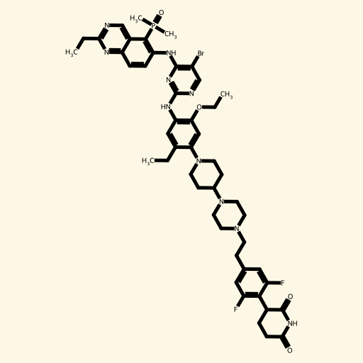 CCOc1cc(N2CCC(N3CCN(CCc4cc(F)c(C5CCC(=O)NC5=O)c(F)c4)CC3)CC2)c(CC)cc1Nc1ncc(Br)c(Nc2ccc3nc(CC)ncc3c2P(C)(C)=O)n1